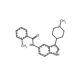 Cc1ccccc1C(=O)Nc1ccc2[nH]cc(C3CCN(C)CC3)c2c1